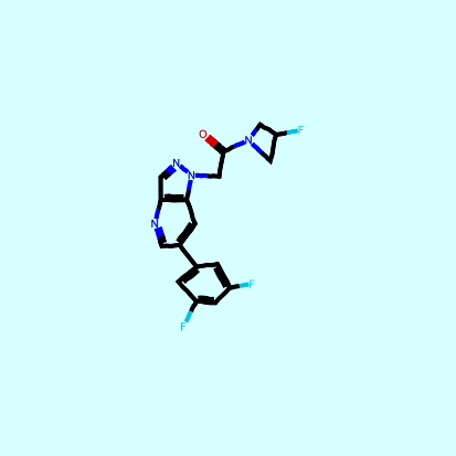 O=C(Cn1ncc2ncc(-c3cc(F)cc(F)c3)cc21)N1CC(F)C1